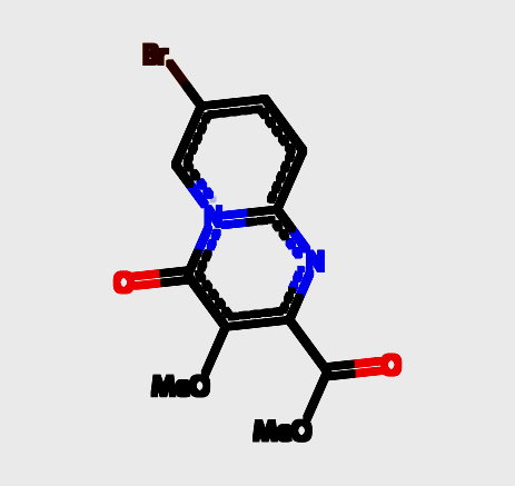 COC(=O)c1nc2ccc(Br)cn2c(=O)c1OC